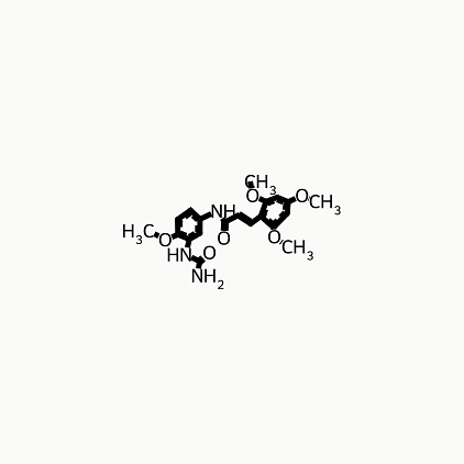 COc1cc(OC)c(/C=C/C(=O)Nc2ccc(OC)c(NC(N)=O)c2)c(OC)c1